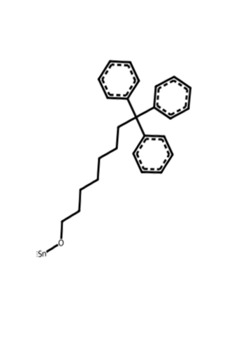 [Sn][O]CCCCCCCC(c1ccccc1)(c1ccccc1)c1ccccc1